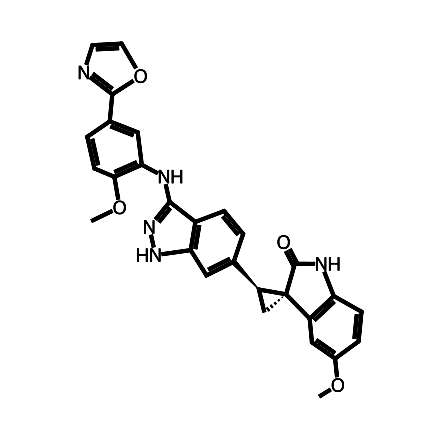 COc1ccc2c(c1)[C@]1(C[C@H]1c1ccc3c(Nc4cc(-c5ncco5)ccc4OC)n[nH]c3c1)C(=O)N2